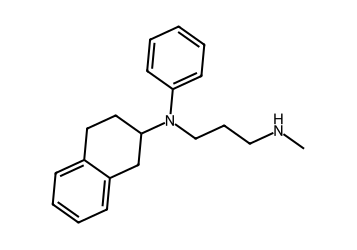 CNCCCN(c1ccccc1)C1CCc2ccccc2C1